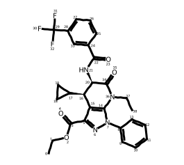 CCOC(=O)c1nn(-c2ccccc2)c2c1[C@@H](C1CC1)[C@@H](NC(=O)c1cccc(C(F)(F)F)c1)C(=O)N2CC